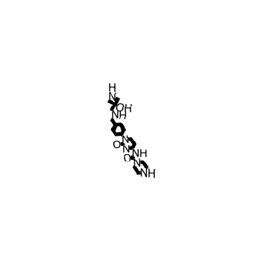 O=C(Nc1ccn(-c2ccc(CNCC3(O)CNC3)cc2)c(=O)n1)N1CCNCC1